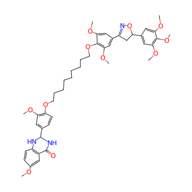 COc1ccc2c(c1)C(=O)NC(c1ccc(OCCCCCCCCCOc3c(OC)cc(C4=NOC(c5cc(OC)c(OC)c(OC)c5)C4)cc3OC)c(OC)c1)N2